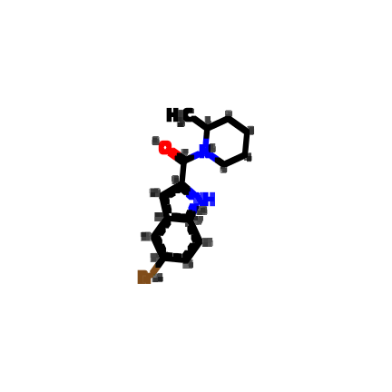 CC1CCCCN1C(=O)c1cc2cc(Br)ccc2[nH]1